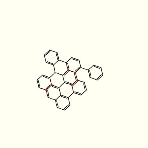 c1ccc(-c2ccc(-c3ccccc3N(c3ccccc3)c3ccccc3-c3cccc4cccc(-c5ccccc5)c34)cc2)cc1